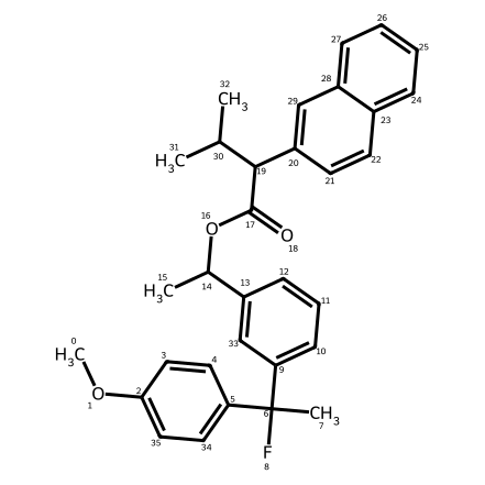 COc1ccc(C(C)(F)c2cccc(C(C)OC(=O)C(c3ccc4ccccc4c3)C(C)C)c2)cc1